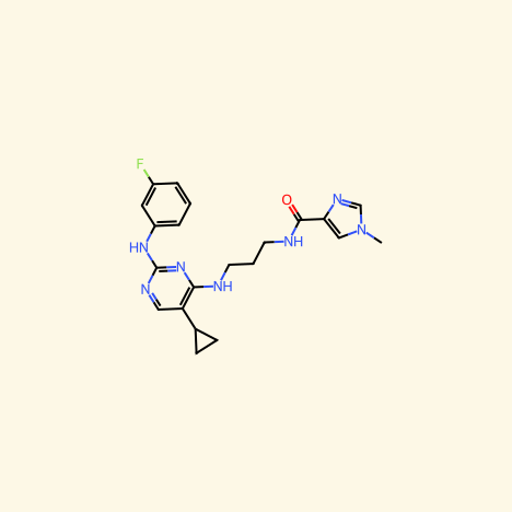 Cn1cnc(C(=O)NCCCNc2nc(Nc3cccc(F)c3)ncc2C2CC2)c1